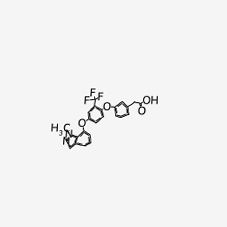 Cn1ncc2cccc(Oc3ccc(Oc4cccc(CC(=O)O)c4)c(C(F)(F)F)c3)c21